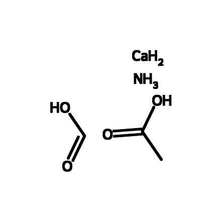 CC(=O)O.N.O=CO.[CaH2]